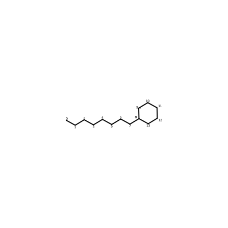 CCCCCCCCC1[C]CCCC1